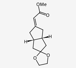 COC(=O)C=C1C[C@@H]2CC3(C[C@@H]2C1)OCCO3